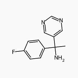 CC(N)(c1ccc(F)cc1)c1cncnc1